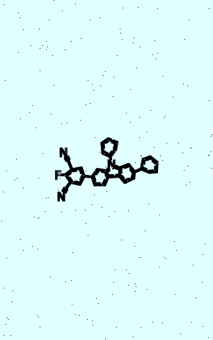 N#Cc1cc(-c2ccc3c4ccc(-c5ccccc5)cc4n(-c4ccccc4)c3c2)cc(C#N)c1F